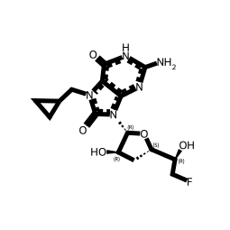 Nc1nc2c(c(=O)[nH]1)n(CC1CC1)c(=O)n2[C@@H]1O[C@H]([C@@H](O)CF)C[C@H]1O